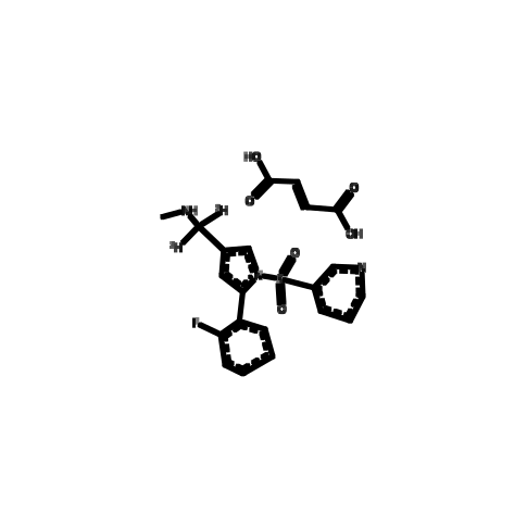 O=C(O)/C=C/C(=O)O.[2H]C([2H])(NC)c1cc(-c2ccccc2F)n(S(=O)(=O)c2cccnc2)c1